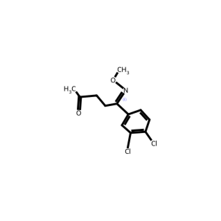 CO/N=C(\CCC(C)=O)c1ccc(Cl)c(Cl)c1